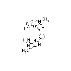 Cc1cc2cnc(-c3cccc(C#C[C@]4(OC(=O)C(F)(F)F)CCN(C)C4=O)c3)nc2c(N)n1